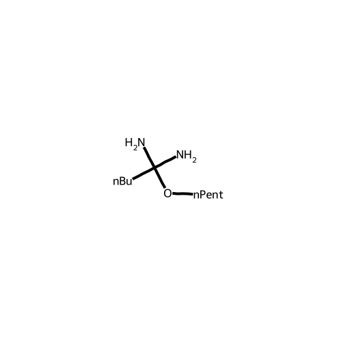 CCCCCOC(N)(N)CCCC